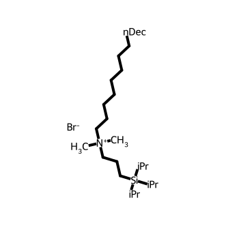 CCCCCCCCCCCCCCCCCC[N+](C)(C)CCC[Si](C(C)C)(C(C)C)C(C)C.[Br-]